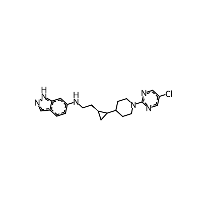 Clc1cnc(N2CCC(C3C[C@H]3CCNc3ccc4cn[nH]c4c3)CC2)nc1